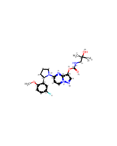 COc1ccc(F)cc1[C@H]1CCCN1c1ccn2ncc(OC(=O)NCC(C)(C)O)c2n1